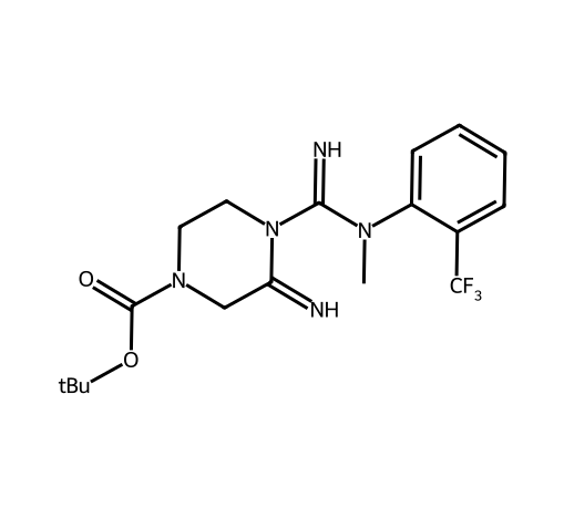 CN(C(=N)N1CCN(C(=O)OC(C)(C)C)CC1=N)c1ccccc1C(F)(F)F